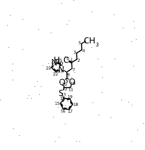 C=C(CCCCC)CC(C1OCC(Sc2ccccc2)O1)n1ccnc1